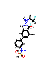 Cc1cc(-c2cccc(NS(C)(=O)=O)c2)cc2c1C(=O)N(N(C)C(C)C(F)(F)F)C2